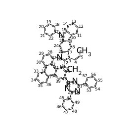 C=Cc1c(/C=C\C)c2cc3c4ccccc4n(-c4ccccc4)c3cc2n1-c1cccc2c3ccccc3c3cc(-c4nc(-c5ccccc5)nc(-c5ccccc5)n4)ccc3c12